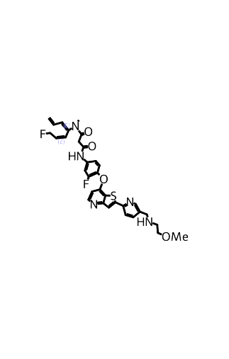 C=C/C=C(\C=C/CF)N(C)C(=O)CC(=O)Nc1ccc(Oc2ccnc3cc(-c4ccc(CNCCOC)cn4)sc23)c(F)c1